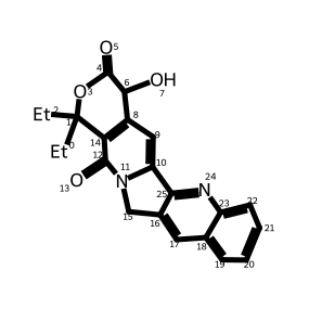 CCC1(CC)OC(=O)C(O)c2cc3n(c(=O)c21)Cc1cc2ccccc2nc1-3